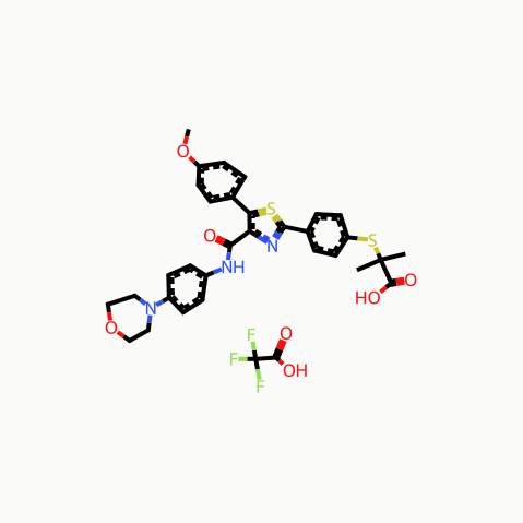 COc1ccc(-c2sc(-c3ccc(SC(C)(C)C(=O)O)cc3)nc2C(=O)Nc2ccc(N3CCOCC3)cc2)cc1.O=C(O)C(F)(F)F